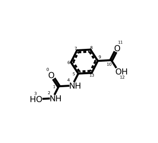 O=C(NO)Nc1cccc(C(=O)O)c1